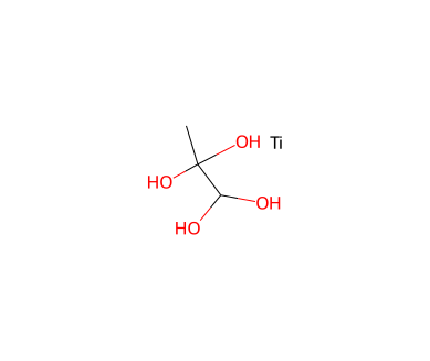 CC(O)(O)C(O)O.[Ti]